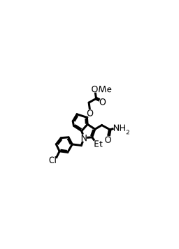 CCc1c(CC(N)=O)c2c(OCC(=O)OC)cccc2n1Cc1cccc(Cl)c1